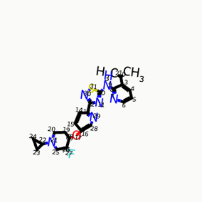 CC(C)c1cccnc1Nc1nc(-c2ccc(O[C@@H]3CCN(C4CC4)C[C@H]3F)cn2)ns1